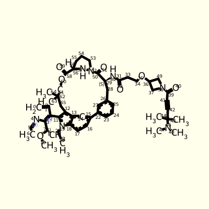 C=C/C(=C(\N=C/C)[C@H](C)OC)c1c2c3cc(ccc3n1CC)-c1cccc(c1)C[C@H](NC(=O)CCOC1CN(C(=O)C#CC(C)(C)N(C)C)C1)C(=O)N1CCC[C@H](N1)C(=O)OCC(C)(C)C2